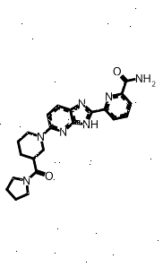 NC(=O)c1cccc(-c2nc3ccc(N4CCCC(C(=O)N5CCCC5)C4)nc3[nH]2)n1